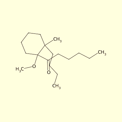 CCCCCC(=O)C1(OC)CCCCC1(C)CCCC